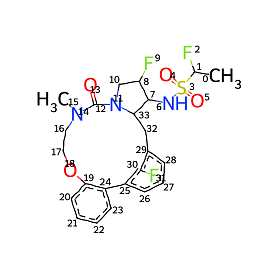 CC(F)S(=O)(=O)NC1C(F)CN2C(=O)N(C)CCOc3ccccc3-c3cccc(c3F)CC12